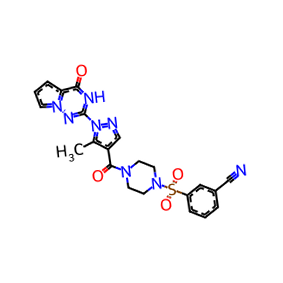 Cc1c(C(=O)N2CCN(S(=O)(=O)c3cccc(C#N)c3)CC2)cnn1-c1nn2cccc2c(=O)[nH]1